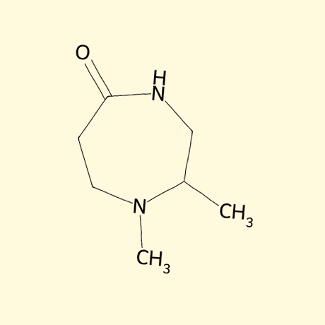 CC1CNC(=O)CCN1C